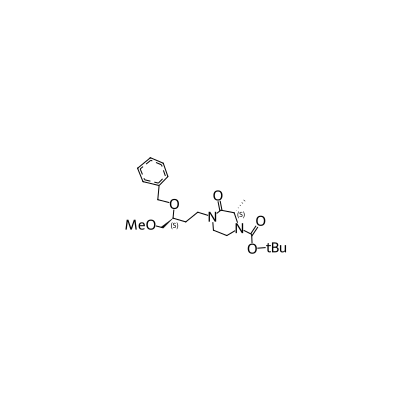 COC[C@H](CCN1CCN(C(=O)OC(C)(C)C)[C@@H](C)C1=O)OCc1ccccc1